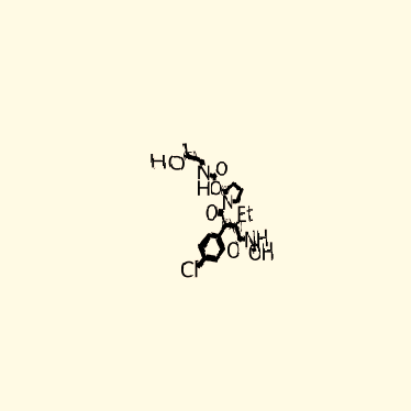 CC[C@H](C(=O)NO)[C@H](C(=O)N1CCC[C@@H]1OC(=O)NC[C@H](C)O)c1ccc(Cl)cc1